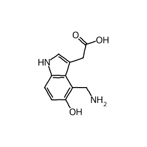 NCc1c(O)ccc2[nH]cc(CC(=O)O)c12